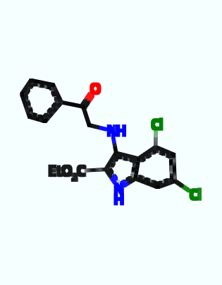 CCOC(=O)c1[nH]c2cc(Cl)cc(Cl)c2c1NCC(=O)c1ccccc1